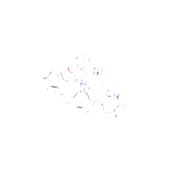 CN1C(=O)C2(c3ccccc3Oc3ccc(-c4cccnc4F)cc32)N(F)C1N